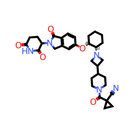 N#CC1(C(=O)N2CCC(C3CN([C@H]4CCCC[C@H]4Oc4ccc5c(c4)CN(C4CCC(=O)NC4=O)C5=O)C3)CC2)CC1